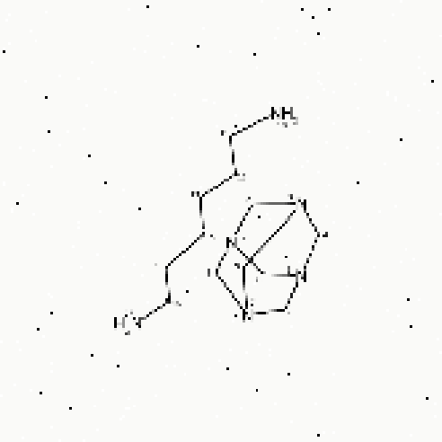 C1N2CN3CN1CN(C2)C3.NCCCCCCN